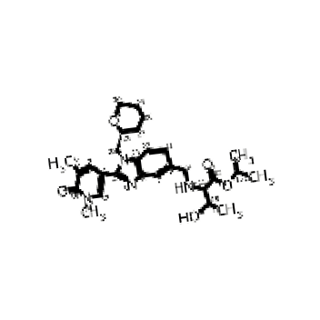 Cc1cc(-c2nc3cc(CNC(C(=O)OC(C)C)C(C)O)ccc3n2C[C@@H]2CCCCO2)cn(C)c1=O